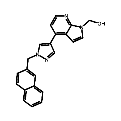 OCn1ccc2c(-c3cnn(Cc4ccc5ccccc5c4)c3)ccnc21